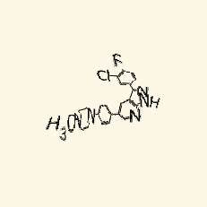 CN1CCN(c2ccc(-c3cnc4[nH]nc(-c5ccc(F)c(Cl)c5)c4c3)cc2)CC1